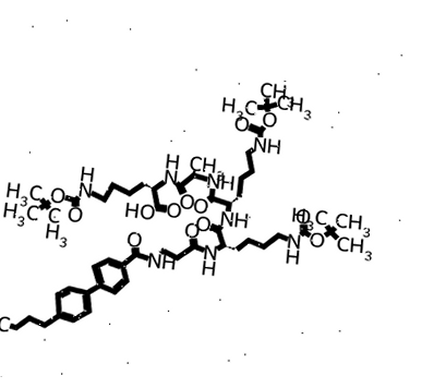 CCCCc1ccc(-c2ccc(C(=O)NCCC(=O)N[C@@H](CCCCNC(=O)OC(C)(C)C)C(=O)N[C@@H](CCCCNC(=O)OC(C)(C)C)C(=O)N[C@@H](C)C(=O)N[C@@H](CCCCNC(=O)OC(C)(C)C)C(=O)O)cc2)cc1